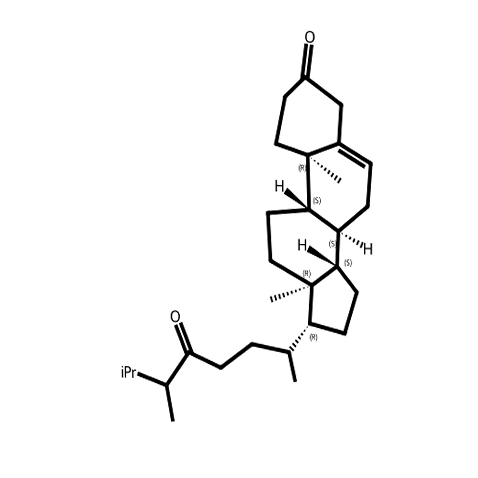 CC(C)C(C)C(=O)CCC(C)[C@H]1CC[C@H]2[C@@H]3CC=C4CC(=O)CC[C@]4(C)[C@H]3CC[C@]12C